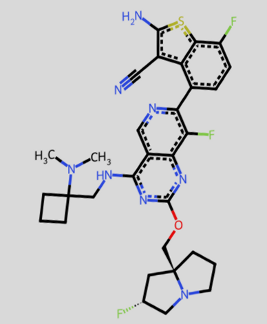 CN(C)C1(CNc2nc(OC[C@@]34CCCN3C[C@H](F)C4)nc3c(F)c(-c4ccc(F)c5sc(N)c(C#N)c45)ncc23)CCC1